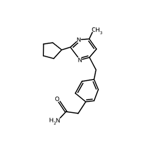 Cc1cc(Cc2ccc(CC(N)=O)cc2)nc(C2CCCC2)n1